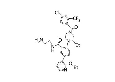 CCOc1ncccc1-c1ccc(N2CCN(C(=O)c3ccc(Cl)cc3C(F)(F)F)C[C@H]2CC)c(C(=O)NCCN)c1